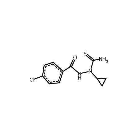 NC(=S)N(NC(=O)c1ccc(Cl)cc1)C1CC1